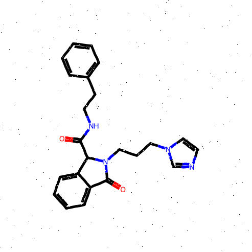 O=C(NCCc1ccccc1)C1c2ccccc2C(=O)N1CCCn1ccnc1